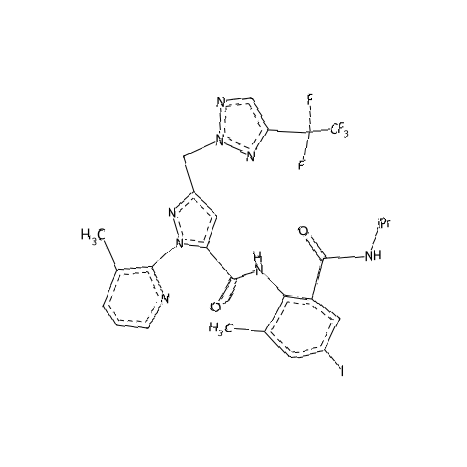 Cc1cccnc1-n1nc(Cn2ncc(C(F)(F)C(F)(F)F)n2)cc1C(=O)Nc1c(C)cc(I)cc1C(=O)NC(C)C